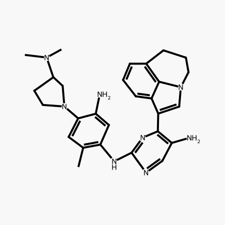 Cc1cc(N2CCC(N(C)C)C2)c(N)cc1Nc1ncc(N)c(-c2cn3c4c(cccc24)CCC3)n1